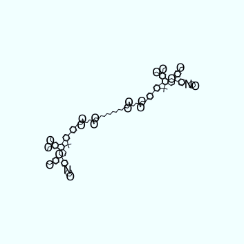 COc1ccc(C2(c3ccc(N4CCOCC4)cc3)C=Cc3c4c(c5cc(OC)c(OC)cc5c3O2)-c2ccc(-c3ccc(COC(=O)CCC(=O)OCCCCCCCCCCOC(=O)CCC(=O)OCc5ccc(-c6ccc7c(c6)C(C)(C)c6c8c(c9cc(OC)c(OC)cc9c6-7)OC(c6ccc(OC)cc6)(c6ccc(N7CCOCC7)cc6)C=C8)cc5)cc3)cc2C4(C)C)cc1